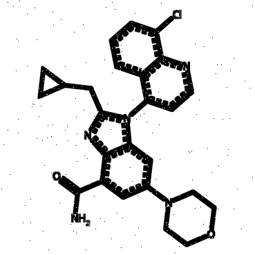 NC(=O)c1cc(N2CCOCC2)cc2c1nc(CC1CC1)n2-c1ccnc2c(Cl)cccc12